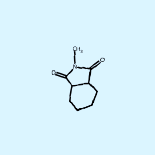 CN1C(=O)C2CCCCC2C1=O